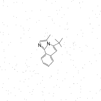 Cc1cnc2c3ccccc3cc(C(C)(C)C)n12